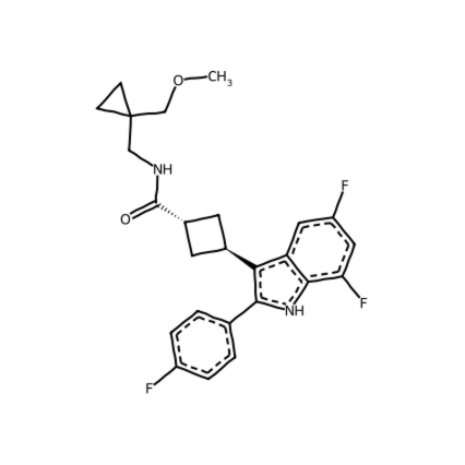 COCC1(CNC(=O)[C@H]2C[C@H](c3c(-c4ccc(F)cc4)[nH]c4c(F)cc(F)cc43)C2)CC1